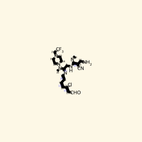 C=N/C(NC/C(=N/C=C/C=C\C(Cl)=C\C=O)N(C)N1CCN(CC(F)(F)F)CC1)=C(/C#N)CN